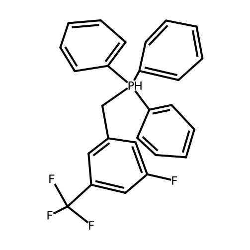 Fc1cc(C[PH](c2ccccc2)(c2ccccc2)c2ccccc2)cc(C(F)(F)F)c1